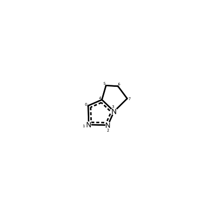 c1nnn2c1CCC2